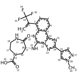 C=C(c1cccc2c1nc(N[C@@H]1CN(C(=O)O)CCNC1=O)n1nc(-c3cnn(C)c3)nc21)C(F)(F)F